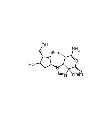 CCCCCN1C(N)=NC(=O)C2(CCCCC)N=CN([C@H]3CC(O)[C@@H](CO)O3)C12